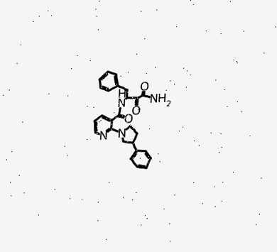 NC(=O)C(=O)C(Cc1ccccc1)NC(=O)c1cccnc1N1CCC(c2ccccc2)C1